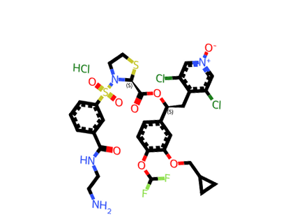 Cl.NCCNC(=O)c1cccc(S(=O)(=O)N2CCS[C@H]2C(=O)O[C@@H](Cc2c(Cl)c[n+]([O-])cc2Cl)c2ccc(OC(F)F)c(OCC3CC3)c2)c1